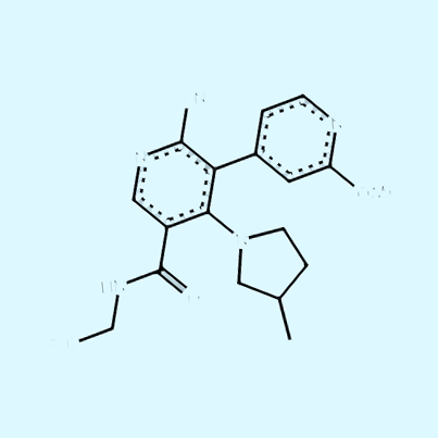 COc1cc(-c2c(C#N)ncc(C(=O)NCC(F)(F)F)c2N2CCC(C)C2)ccn1